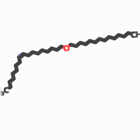 CCCCCCCC/C=C\CCCCCCCCOCCCCCCCCCCCCCC